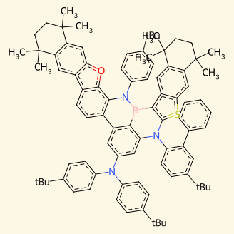 CC(C)(C)c1ccc(N2B3c4c(cc(N(c5ccc(C(C)(C)C)cc5)c5ccc(C(C)(C)C)cc5)cc4N(c4ccc(C(C)(C)C)cc4-c4ccccc4)c4sc5cc6c(cc5c43)C(C)(C)CCC6(C)C)-c3ccc4c(oc5cc6c(cc54)C(C)(C)CCC6(C)C)c32)cc1